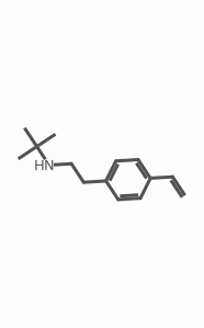 C=Cc1ccc(CCNC(C)(C)C)cc1